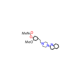 CNC(=O)Oc1ccc(CCN2CCN(c3ccc4ccccc4n3)CC2)cc1OC